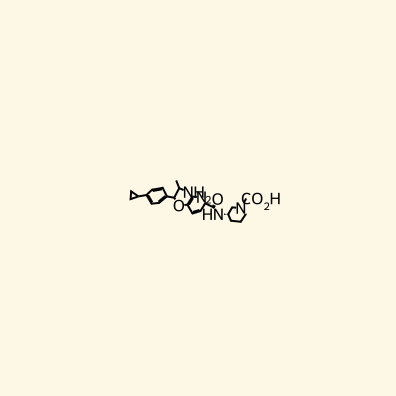 CC(N)C(Oc1ccc(C(=O)N[C@H]2CCCN(C(=O)O)C2)nc1)c1ccc(C2CC2)cc1